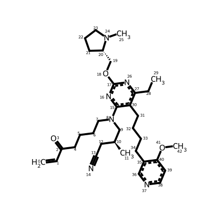 C=CC(=O)CCCCN(C[C@@H](C)CC#N)c1nc(OC[C@@H]2CCCN2C)nc(CC)c1CCCCc1cnccc1OC